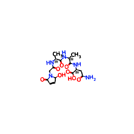 C[C@H](NC(=O)CN1C(=O)C=CC1O)C(=O)N[C@@H](C)C(=O)N[C@@H](CC(N)=O)C(=O)O